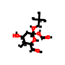 C[C@H]1C(O)C[C@@](OC=O)(OCC(C)(C)C)OC1C=O